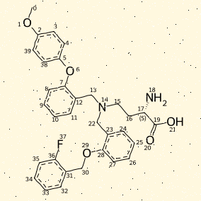 COc1ccc(Oc2ccccc2CN(CC[C@H](N)C(=O)O)Cc2ccccc2OCc2ccccc2F)cc1